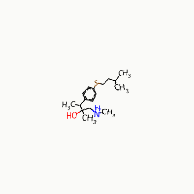 CNCC(C)(O)C(C)c1ccc(SCCC(C)C)cc1